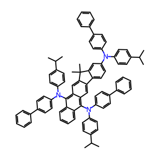 CC(C)c1ccc(N(c2ccc(-c3ccccc3)cc2)c2ccc3c(c2)C(C)(C)c2cc4c(N(c5ccc(-c6ccccc6)cc5)c5ccc(C(C)C)cc5)c5ccccc5c(N(c5ccc(-c6ccccc6)cc5)c5ccc(C(C)C)cc5)c4cc2-3)cc1